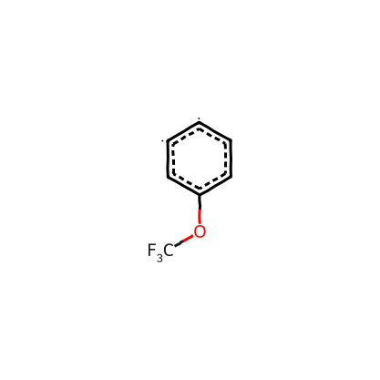 FC(F)(F)Oc1c[c][c]cc1